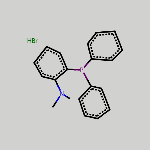 Br.CN(C)c1ccccc1P(c1ccccc1)c1ccccc1